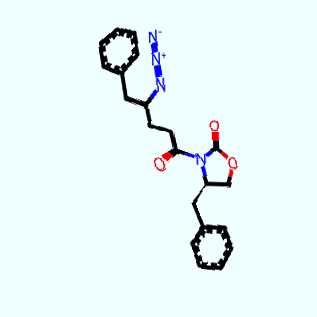 [N-]=[N+]=NC(CCC(=O)N1C(=O)OC[C@H]1Cc1ccccc1)Cc1ccccc1